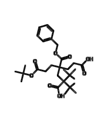 CC(C)(C)OC(=O)CCC(CCC(=O)O)(CC(C(=O)O)(C(C)(C)C)C(C)(C)C)C(=O)OCc1ccccc1